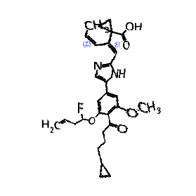 C=CCC(F)Oc1cc(-c2cnc(/C=C(\C=C/C)C3(C(=O)O)CC3)[nH]2)cc(OC)c1C(=O)CCCC1CC1